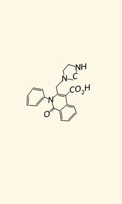 O=C(O)c1c(CN2CCNCC2)n(-c2ccccc2)c(=O)c2ccccc12